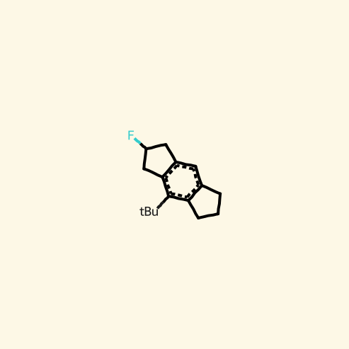 CC(C)(C)c1c2c(cc3c1CC(F)C3)CCC2